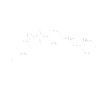 CC(=O)c1ccc(NS(=O)(=O)c2ccc(NCc3ccccn3)cc2)cc1